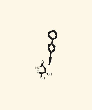 O=C(O)[C@@H](O)[C@@H](CC#Cc1ccc(-c2ccccc2)cc1)C(=O)O